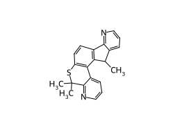 CC1c2cccnc2-c2ccc3c(c21)-c1cccnc1C(C)(C)S3